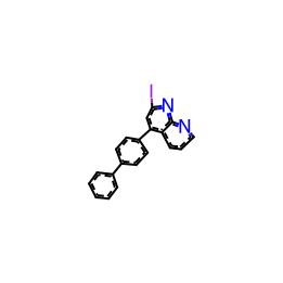 Ic1cc(-c2ccc(-c3ccccc3)cc2)c2cccnc2n1